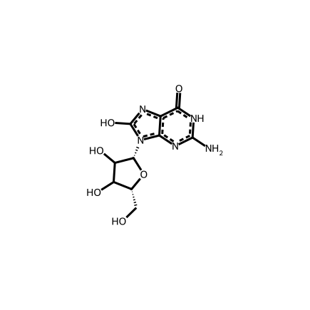 Nc1nc2c(nc(O)n2[C@@H]2O[C@H](CO)C(O)C2O)c(=O)[nH]1